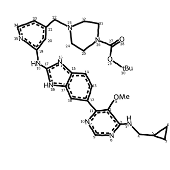 COc1c(NCC2CC2)ncnc1-c1ccc2nc(Nc3cc(CN4CCN(C(=O)OC(C)(C)C)CC4)ccn3)[nH]c2c1